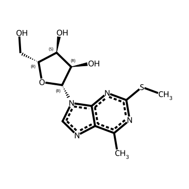 CSc1nc(C)c2ncn([C@@H]3O[C@H](CO)[C@@H](O)[C@H]3O)c2n1